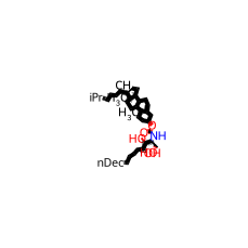 CCCCCCCCCCCCCC[C@@H](O)[C@@H](O)[C@H](CO)NC(=O)OC1CC[C@@]2(C)C(=CCC3C2CC[C@@]2(C)C3CC[C@@H]2[C@H](C)CCCC(C)C)C1